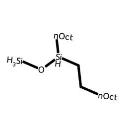 CCCCCCCCCC[SiH](CCCCCCCC)O[SiH3]